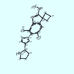 CNC1=Nc2c(cc(Cl)c(-n3cc([C@H]4CCCN4)cn3)c2Cl)C12CCC2